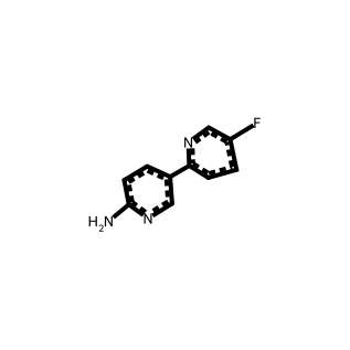 Nc1ccc(-c2ccc(F)cn2)cn1